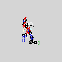 CC1(C)CCC(CN2CCN(c3ccc(C(=O)NS(=O)(=O)c4cc5c(c([N+](=O)[O-])c4)O[C@H](CN4CCOCC4)CO5)c(Oc4cnc5[nH]ccc5c4)c3)CC2)=C(c2ccc(Cl)cc2)C1